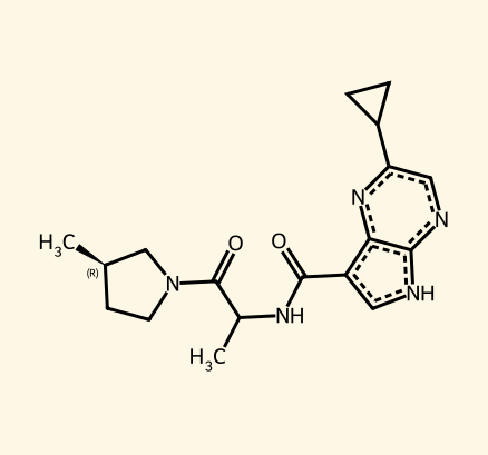 CC(NC(=O)c1c[nH]c2ncc(C3CC3)nc12)C(=O)N1CC[C@@H](C)C1